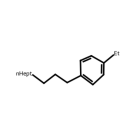 CCCCCCCCCCc1ccc(CC)cc1